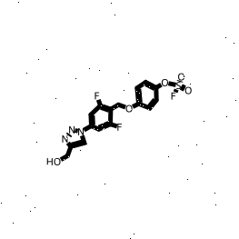 O=S(=O)(F)Oc1ccc(OCc2c(F)cc(-n3cc(CO)nn3)cc2F)cc1